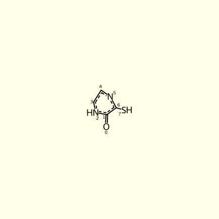 O=c1[nH]ccnc1S